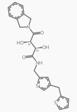 O=C(NCc1cc(Cc2cccs2)cs1)[C@H](O)[C@@H](O)C(=O)N1Cc2ccccc2C1